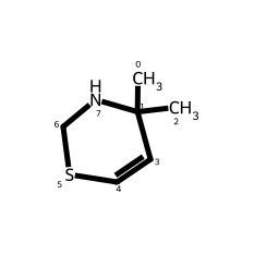 CC1(C)C=CSCN1